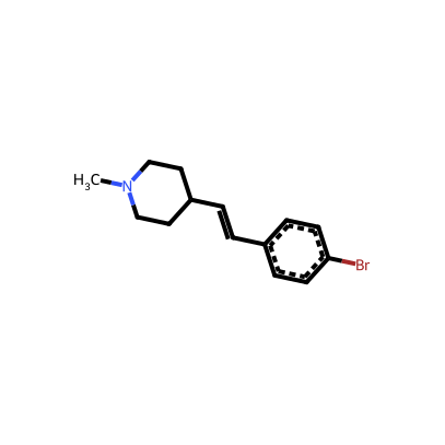 CN1CCC(/C=C/c2ccc(Br)cc2)CC1